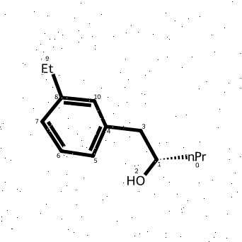 CCC[C@H](O)Cc1cccc(CC)c1